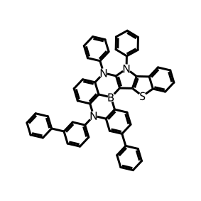 c1ccc(-c2cccc(N3c4cc(-c5ccccc5)ccc4B4c5c3cccc5N(c3ccccc3)c3c4c4sc5ccccc5c4n3-c3ccccc3)c2)cc1